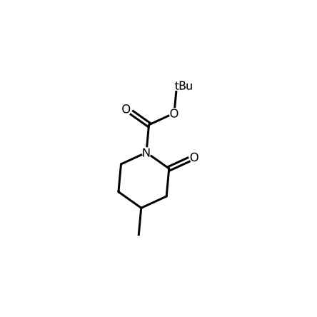 CC1CCN(C(=O)OC(C)(C)C)C(=O)C1